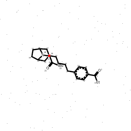 CCC(=O)c1ccc(CCCCN2CC3CCC(C2)N3CC(=O)C(C)(C)C)cc1